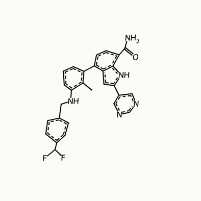 Cc1c(NCc2ccc(C(F)F)cc2)cccc1-c1ccc(C(N)=O)c2[nH]c(-c3cncnc3)cc12